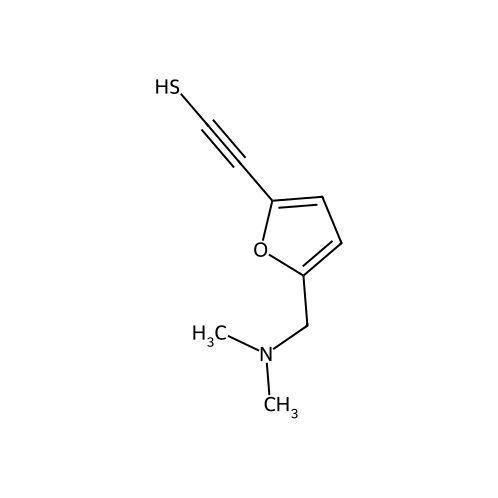 CN(C)Cc1ccc(C#CS)o1